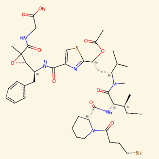 CC[C@H](C)[C@H](NC(=O)[C@H]1CCCCN1C(=O)CCCS)C(=O)N(C)[C@H](C[C@@H](OC(C)=O)c1nc(C(=O)N[C@@H](Cc2ccccc2)C2OC2(C)C(=O)NCC(=O)O)cs1)C(C)C